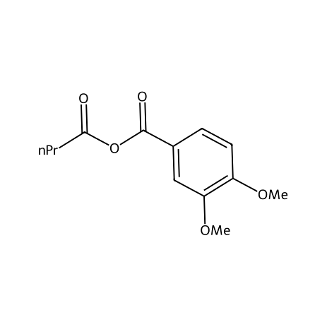 CCCC(=O)OC(=O)c1ccc(OC)c(OC)c1